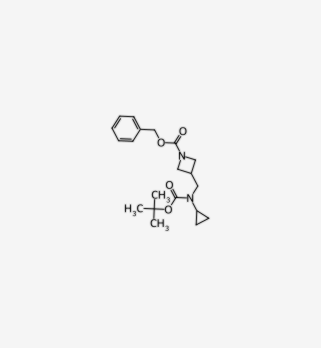 CC(C)(C)OC(=O)N(CC1CN(C(=O)OCc2ccccc2)C1)C1CC1